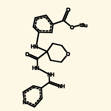 CC(C)(C)OC(=O)c1cccc(NC2(C(=O)NNC(=N)c3ccncc3)CCOCC2)c1